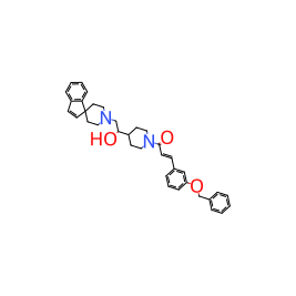 O=C(/C=C/c1cccc(OCc2ccccc2)c1)N1CCC(C(O)CN2CCC3(C=Cc4ccccc43)CC2)CC1